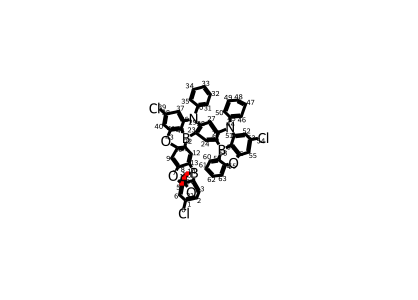 Clc1cc2c3c(c1)Oc1cc4c(cc1B3c1ccccc1O2)B1c2cc3c(cc2N(c2ccccc2)c2cc(Cl)cc(c21)O4)N(c1ccccc1)c1cc(Cl)cc2c1B3c1ccccc1O2